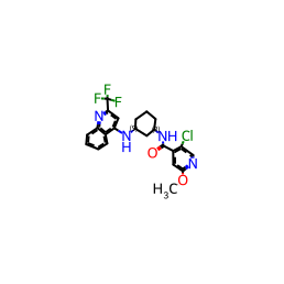 COc1cc(C(=O)N[C@@H]2CCC[C@H](Nc3cc(C(F)(F)F)nc4ccccc34)C2)c(Cl)cn1